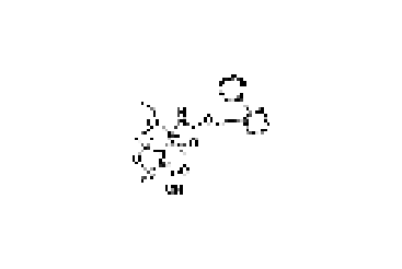 CC[C@H](C)[C@H](NC(=O)OCC1c2ccccc2-c2ccccc21)C(=O)N1[C@H](C(=O)O)[C@@H](C)OC1(C)C